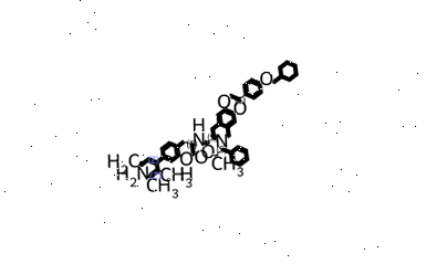 C=C/C=C(\C(C)=C(\C)N)c1ccc(C[C@H](NC(=O)[C@@H]2Cc3cc4c(cc3CN2[C@@H](CC)c2ccccc2)O[C@@H](c2ccc(OCC3CCCCC3)cc2)CO4)C(=O)O)cc1